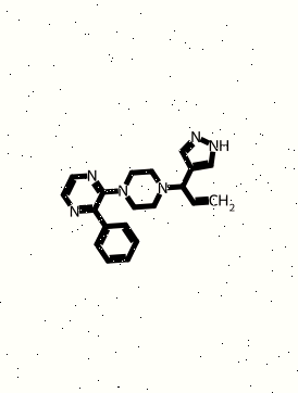 C=CC(c1cn[nH]c1)N1CCN(c2nccnc2-c2ccccc2)CC1